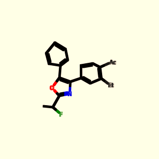 CCc1cc(-c2nc(C(C)F)oc2-c2ccccc2)ccc1C(C)=O